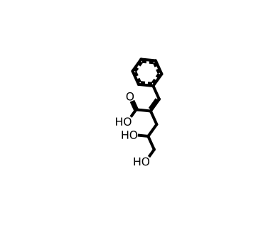 O=C(O)C(=Cc1ccccc1)CC(O)CO